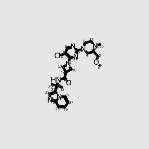 COCC1CN(c2ncc(Cl)c(N3CC(C(=O)NC(C)(C)c4cnc5ccccn45)C3)n2)CCN1C